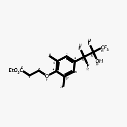 CCOC(=O)CCOc1c(C)cc(C(F)(F)C(O)(F)C(F)(F)F)cc1C